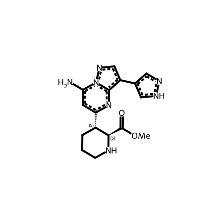 COC(=O)[C@H]1NCCC[C@@H]1c1cc(N)n2ncc(-c3cn[nH]c3)c2n1